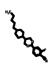 CCCCCC1CCC(C2COC(c3ccc(C#N)c(F)c3)OC2)CC1